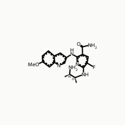 COc1ccc2cc(Nc3nc(N[C@@H](C)[C@@H](C)N)c(F)cc3C(N)=O)cnc2c1